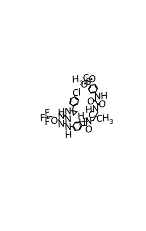 CC(C)(CNC(=O)C(=O)Nc1ccc(S(C)(=O)=O)cc1)CNC(=O)c1ccc(Nc2nc(NC3(c4ccc(Cl)cc4)CC3)nc(OCC(F)(F)F)n2)cc1